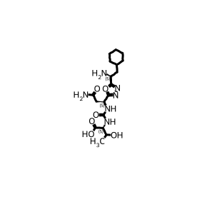 CC(O)[C@H](NC(=O)N[C@@H](CC(N)=O)c1nnc([C@@H](N)CC2CCCCC2)o1)C(=O)O